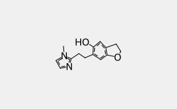 Cn1ccnc1CCc1cc2c(cc1O)CCO2